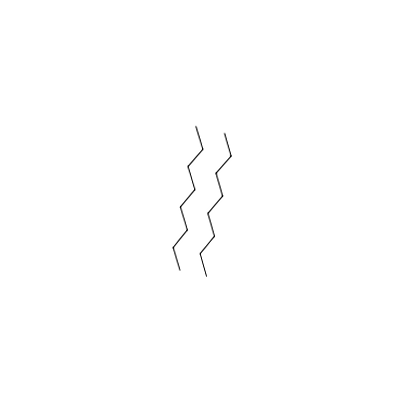 CCCCCCCC.CCCCCCCC